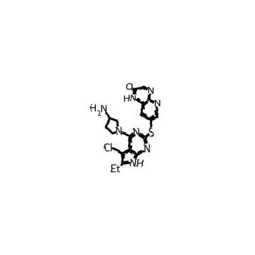 CCc1[nH]c2nc(Sc3cnc4ncc(=O)[nH]c4c3)nc(N3CCC(N)C3)c2c1Cl